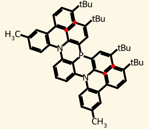 Cc1ccc(N2c3ccc(C(C)(C)C)cc3P3c4cc(C(C)(C)C)ccc4N(c4ccc(C)cc4-c4ccc(C(C)(C)C)cc4)c4cccc2c43)c(-c2ccc(C(C)(C)C)cc2)c1